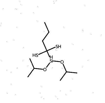 CCCC(S)(S)[SiH](OC(C)C)OC(C)C